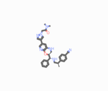 C[C@@H](CN[C@H](c1ccccc1)[C@@H]1CNc2cc(-c3cnn(CC(=O)N(C)C)c3)cnc2O1)c1ccc(C#N)cc1